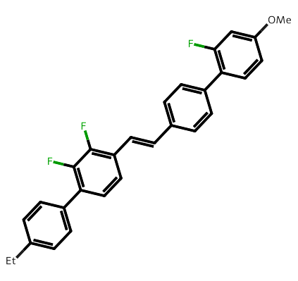 CCc1ccc(-c2ccc(/C=C/c3ccc(-c4ccc(OC)cc4F)cc3)c(F)c2F)cc1